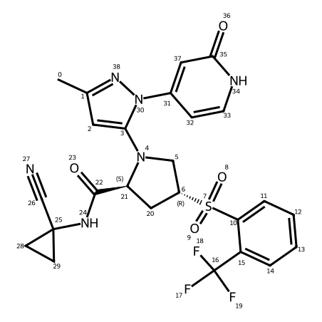 Cc1cc(N2C[C@H](S(=O)(=O)c3ccccc3C(F)(F)F)C[C@H]2C(=O)NC2(C#N)CC2)n(-c2cc[nH]c(=O)c2)n1